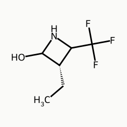 CC[C@@H]1C(O)NC1C(F)(F)F